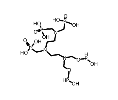 O=P(O)(O)CN(CCN(COPO)COPO)CCN(CP(=O)(O)O)CP(=O)(O)O